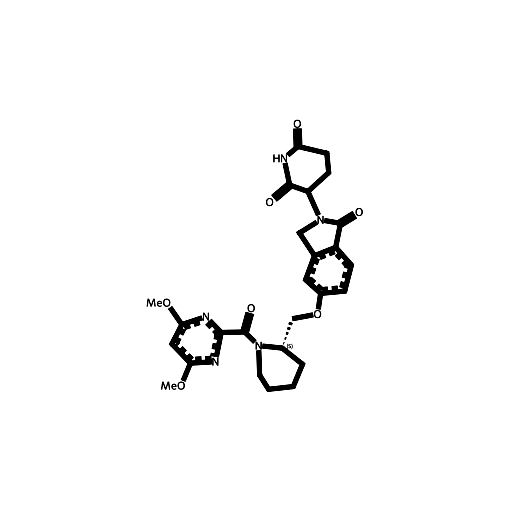 COc1cc(OC)nc(C(=O)N2CCCC[C@H]2COc2ccc3c(c2)CN(C2CCC(=O)NC2=O)C3=O)n1